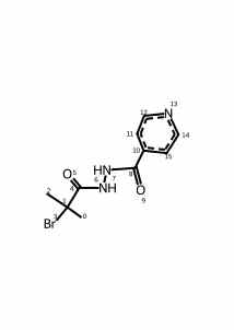 CC(C)(Br)C(=O)NNC(=O)c1ccncc1